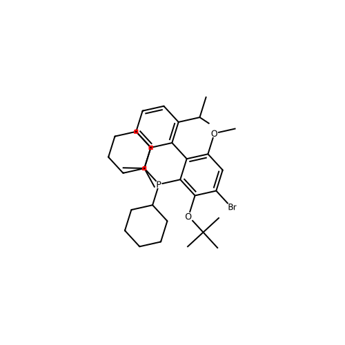 COc1cc(Br)c(OC(C)(C)C)c(P(C2CCCCC2)C2CCCCC2)c1-c1c(C(C)C)cccc1C(C)C